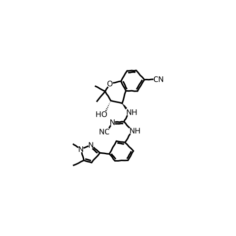 Cc1cc(-c2cccc(NC(=NC#N)N[C@@H]3c4cc(C#N)ccc4OC(C)(C)[C@H]3O)c2)nn1C